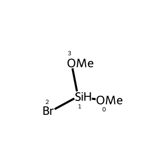 CO[SiH](Br)OC